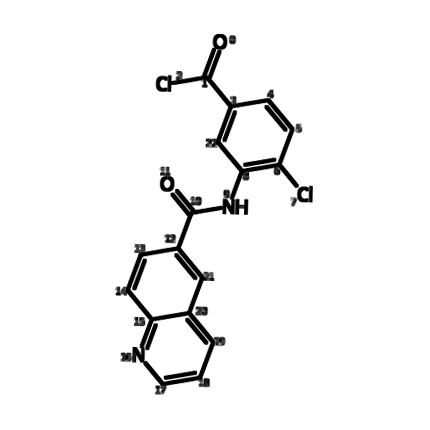 O=C(Cl)c1ccc(Cl)c(NC(=O)c2ccc3ncccc3c2)c1